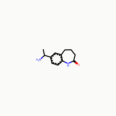 CC(N)c1ccc2c(c1)CCCC(=O)N2